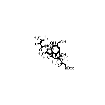 CCCCCCCCCCCC(=O)O[C@]1(C)CC(C)C23C=C(C)[C@H](OC(=O)C(C)=C(C)C)[C@@]2(O)[C@H](O)C(CO)=C[C@H](C3=O)C1(C)C